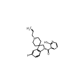 C=CCN1CCC2(CC1)CN(C(=O)c1cccnc1S)c1ccc(F)cc12